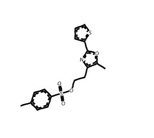 Cc1ccc(S(=O)(=O)OCCc2nc(-c3cccs3)oc2C)cc1